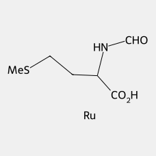 CSCCC(NC=O)C(=O)O.[Ru]